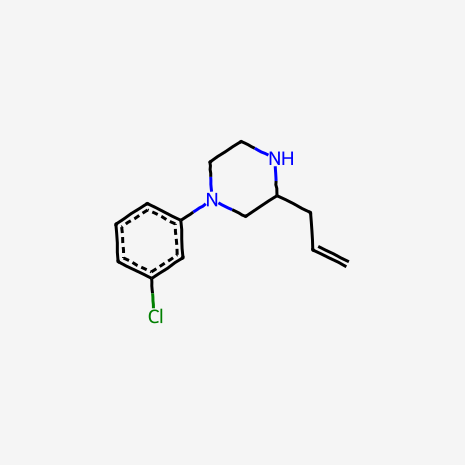 C=CCC1CN(c2cccc(Cl)c2)CCN1